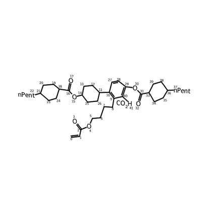 C=CC(=O)OCCCCc1c(C2CCC(OC(=O)C3CCC(CCCCC)CC3)CC2)ccc(OC(=O)C2CCC(CCCCC)CC2)c1C(=O)O